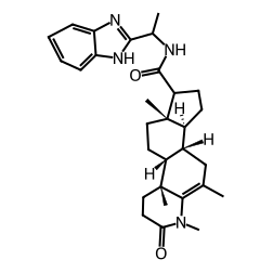 CC1=C2N(C)C(=O)CC[C@]2(C)[C@@H]2CC[C@]3(C)C(C(=O)NC(C)c4nc5ccccc5[nH]4)CC[C@H]3[C@@H]2C1